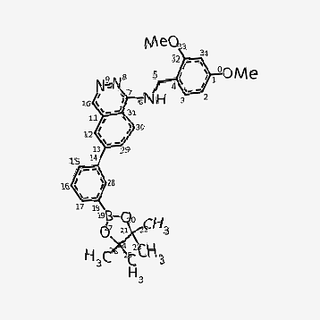 COc1ccc(CNc2nncc3cc(-c4cccc(B5OC(C)(C)C(C)(C)O5)c4)ccc23)c(OC)c1